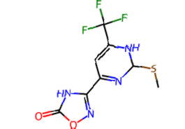 CSC1N=C(c2noc(=O)[nH]2)C=C(C(F)(F)F)N1